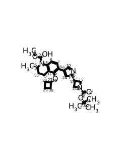 COC(O)N1c2ccc(-c3cnn(C4CN(C(=O)OC(C)(C)C)C4)c3)c(OC3CCC3)c2CC[C@@H]1C